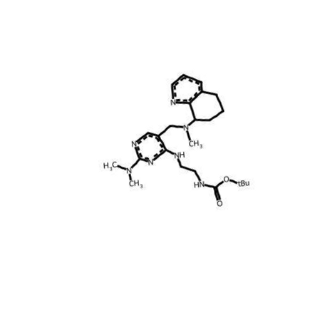 CN(C)c1ncc(CN(C)C2CCCc3cccnc32)c(NCCNC(=O)OC(C)(C)C)n1